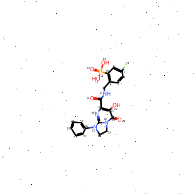 O=C(NCc1ccc(F)cc1P(=O)(O)O)c1nc2n(c(=O)c1O)CCN2c1ccccc1